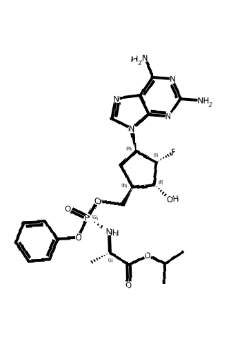 CC(C)OC(=O)[C@H](C)N[P@](=O)(OC[C@H]1C[C@@H](n2cnc3c(N)nc(N)nc32)[C@H](F)[C@@H]1O)Oc1ccccc1